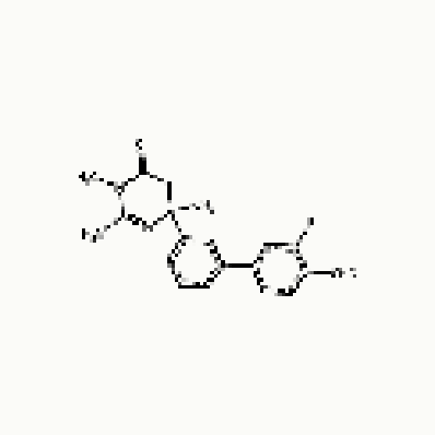 CN1C(=O)CC(C)(c2cccc(-c3ccc(C=O)c(F)c3)c2)N=C1N